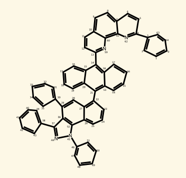 c1ccc(-c2ccc3ccc4ccc(-c5c6ccccc6c(-c6cccc7c6cc(-c6ccccc6)c6c(-c8ccccc8)nn(-c8ccccc8)c67)c6ccccc56)nc4c3n2)cc1